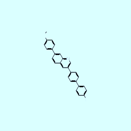 Fc1ccc(-c2ccc(-c3cnc4cc(-c5ccc(SI)cc5)ccc4c3)cc2)cc1